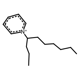 CCCCCCC(CCC)[n+]1ccccc1